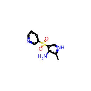 Cc1[nH]cc(S(=O)(=O)c2cccnc2)c1N